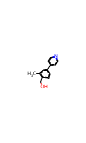 Cc1cc(-c2ccncc2)ccc1CO